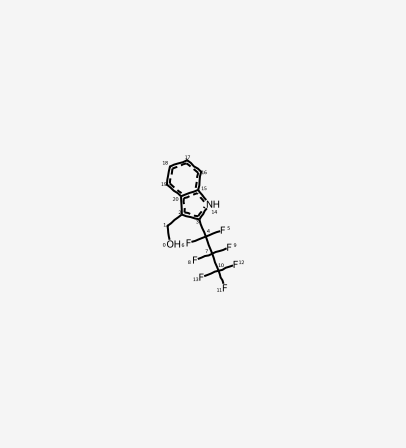 OCc1c(C(F)(F)C(F)(F)C(F)(F)F)[nH]c2ccccc12